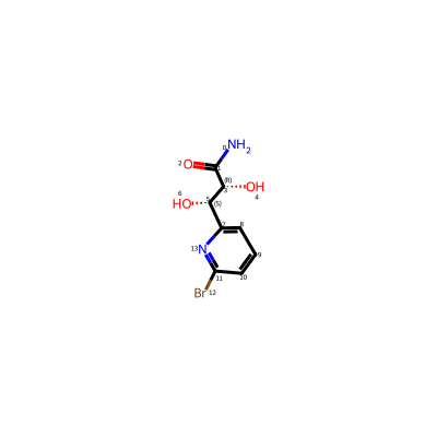 NC(=O)[C@H](O)[C@@H](O)c1cccc(Br)n1